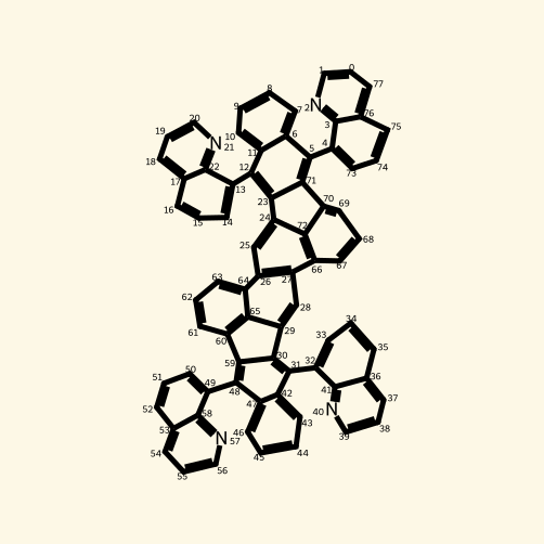 c1cnc2c(-c3c4ccccc4c(-c4cccc5cccnc45)c4c5cc6c(cc7c8c(-c9cccc%10cccnc9%10)c9ccccc9c(-c9cccc%10cccnc9%10)c8c8cccc6c87)c6cccc(c34)c65)cccc2c1